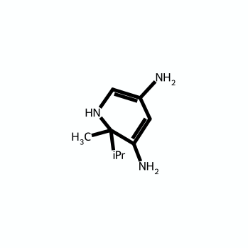 CC(C)C1(C)NC=C(N)C=C1N